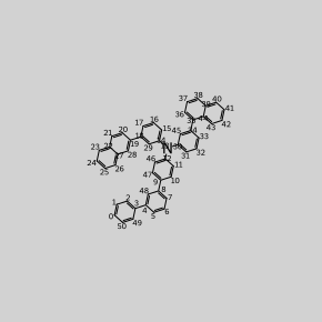 c1ccc(-c2cccc(-c3ccc(N(c4cccc(-c5ccc6ccccc6c5)c4)c4cccc(-c5cccc6ccccc56)c4)cc3)c2)cc1